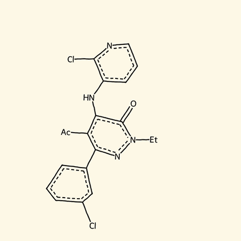 CCn1nc(-c2cccc(Cl)c2)c(C(C)=O)c(Nc2cccnc2Cl)c1=O